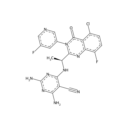 C[C@H](Nc1nc(N)nc(N)c1C#N)c1nc2c(F)ccc(Cl)c2c(=O)n1-c1cncc(F)c1